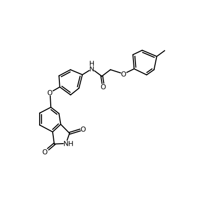 Cc1ccc(OCC(=O)Nc2ccc(Oc3ccc4c(c3)C(=O)NC4=O)cc2)cc1